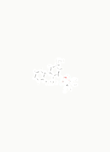 COc1ccccc1-c1cc(B2OC(C)(C)C(C)(C)O2)cc(C(C)(C)C)c1